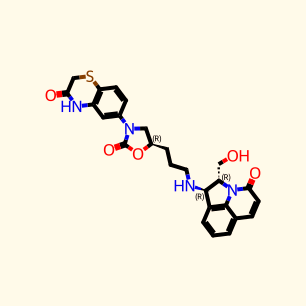 O=C1CSc2ccc(N3C[C@@H](CCCN[C@@H]4c5cccc6ccc(=O)n(c56)[C@H]4CO)OC3=O)cc2N1